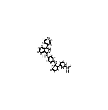 CNc1nccc(-c2cccnc2Oc2ccc(Nc3nnc(-c4ccncc4)c4ccccc34)cc2)n1